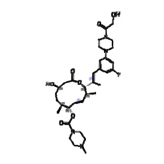 C/C(=C\c1cc(F)cc(N2CCN(C(=O)CO)CC2)c1)[C@H]1OC(=O)C[C@H](O)CC[C@H](C)[C@@H](OC(=O)N2CCN(C)CC2)/C=C/[C@@H]1C